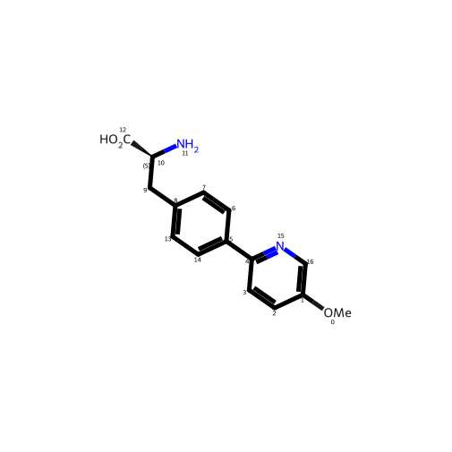 COc1ccc(-c2ccc(C[C@H](N)C(=O)O)cc2)nc1